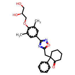 Cc1cc(-c2noc(CC3(c4ccccc4)CCCCC3=O)n2)cc(C)c1OC[C@@H](O)CO